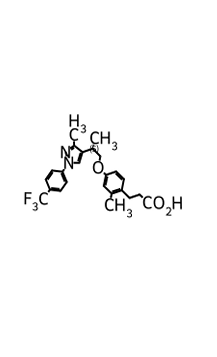 Cc1cc(OC[C@@H](C)c2cn(-c3ccc(C(F)(F)F)cc3)nc2C)ccc1CCC(=O)O